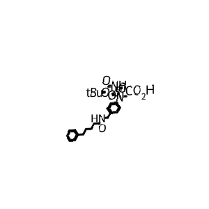 CC(C)(C)OC(=O)NS(=O)(=O)N(CC(=O)O)c1ccc(CNC(=O)CCCCc2ccccc2)cc1